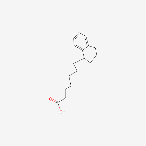 O=C(O)CCCCCCC1CCCc2ccccc21